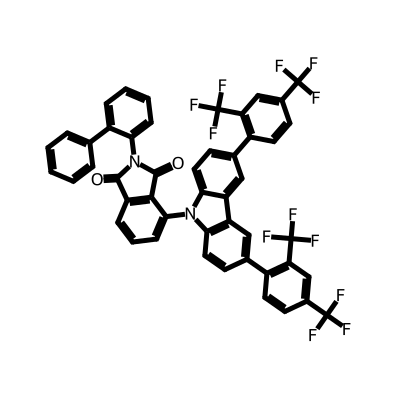 O=C1c2cccc(-n3c4ccc(-c5ccc(C(F)(F)F)cc5C(F)(F)F)cc4c4cc(-c5ccc(C(F)(F)F)cc5C(F)(F)F)ccc43)c2C(=O)N1c1ccccc1-c1ccccc1